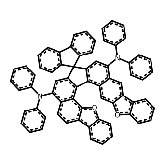 c1ccc(N(c2ccccc2)c2cc3c(c4cc5oc6ccccc6c5cc24)-c2c(cc(N(c4ccccc4)c4ccccc4)c4ccc5c6ccccc6oc5c24)C32c3ccccc3-c3ccccc32)cc1